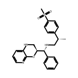 C[C@H](CN[C@H](c1ccccc1)[C@@H]1CNc2cccnc2O1)c1ccc(S(C)(=O)=O)cc1